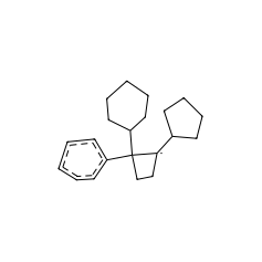 c1ccc(C2(C3CCCCC3)CC[C]2C2CCCC2)cc1